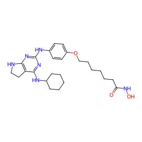 O=C(CCCCCCOc1ccc(Nc2nc3c(c(NC4CCCCC4)n2)CCN3)cc1)NO